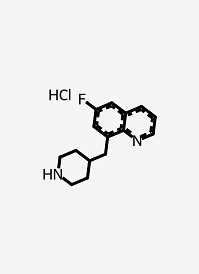 Cl.Fc1cc(CC2CCNCC2)c2ncccc2c1